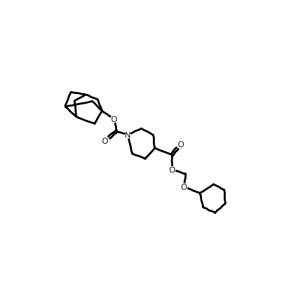 O=C(OCOC1CCCCC1)C1CCN(C(=O)OC23CC4CC(C2)C(C4)C3)CC1